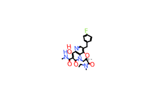 CCN(C)C(=O)[C@@]1(C)Cn2c(=O)c(C(=O)NC)c(O)c3ncc(Cc4ccc(F)cc4)c(c32)O1